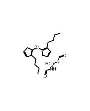 CCCCC1=[C]([Zr][C]2=C(CCCC)C=CC2)CC=C1.O=C[NH][GaH][NH]C=O